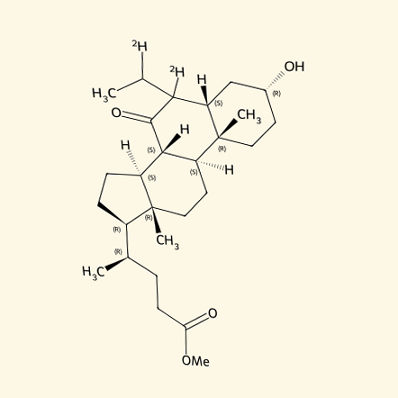 [2H]C(C)C1([2H])C(=O)[C@H]2[C@@H]3CC[C@H]([C@H](C)CCC(=O)OC)[C@@]3(C)CC[C@@H]2[C@@]2(C)CC[C@@H](O)C[C@@H]12